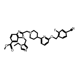 CCn1cncc1Cn1c(CN2CCC(c3cccc(OCc4ccc(C#N)cc4F)n3)CC2)nc2ccc(C(=O)OC)cc21